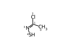 C/C(Cl)=N\S